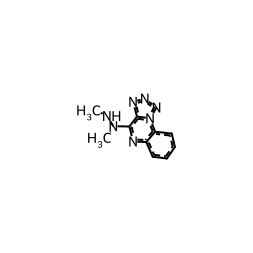 CNN(C)c1nc2ccccc2n2nnnc12